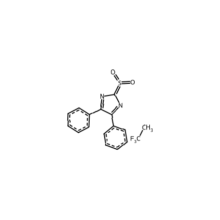 CC(F)(F)F.O=S(=O)=C1N=C(c2ccccc2)C(c2ccccc2)=N1